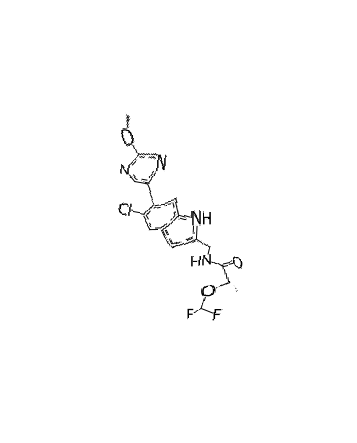 COc1cnc(-c2cc3[nH]c(CNC(=O)[C@H](C)OC(F)F)cc3cc2Cl)cn1